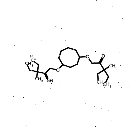 CCC(C)(CC)C(=N)COC1CCCCC(OCC(=O)C(C)(CC)CC)CC1